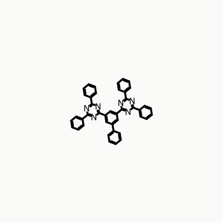 c1ccc(-c2cc(-c3nc(-c4ccccc4)nc(-c4ccccc4)n3)cc(-c3nc(-c4ccccc4)nc(-c4ccccc4)n3)c2)cc1